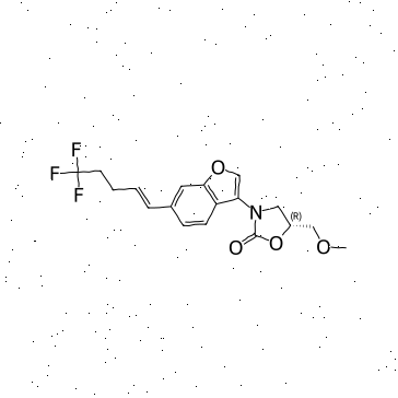 COC[C@H]1CN(c2coc3cc(C=CCCC(F)(F)F)ccc23)C(=O)O1